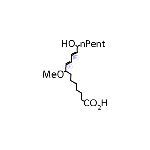 CCCCCC(O)/C=C/C=C/C(CCCCCCC(=O)O)OC